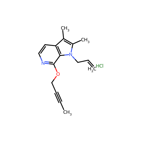 C=CCn1c(C)c(C)c2ccnc(OCC#CC)c21.Cl